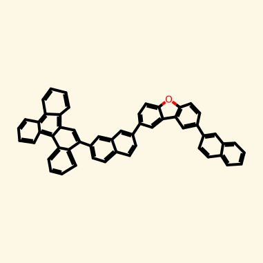 c1ccc2cc(-c3ccc4oc5ccc(-c6ccc7ccc(-c8cc9c%10ccccc%10c%10ccccc%10c9c9ccccc89)cc7c6)cc5c4c3)ccc2c1